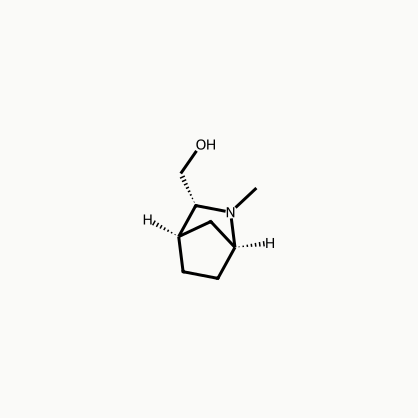 CN1[C@H]2CC[C@H](C2)[C@@H]1CO